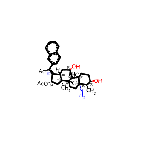 CC(=O)O[C@H]1C[C@@]2(C)[C@@H](C[C@@H](O)[C@@H]3[C@]2(C)CC[C@@]2(N)[C@H](C)[C@H](O)CC[C@]32C)/C1=C(/C(C)=O)c1ccc2ccccc2c1